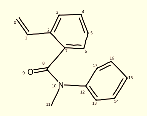 C=Cc1ccccc1C(=O)N(C)c1ccccc1